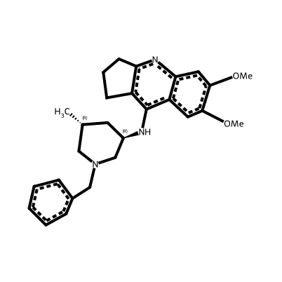 COc1cc2nc3c(c(N[C@@H]4C[C@@H](C)CN(Cc5ccccc5)C4)c2cc1OC)CCC3